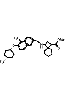 COC(=O)C1CC(NCc2ccc3c(C(F)(F)F)c(O[C@H]4CC[C@@H](C(F)(F)F)CC4)ccc3c2)C12CCCCC2